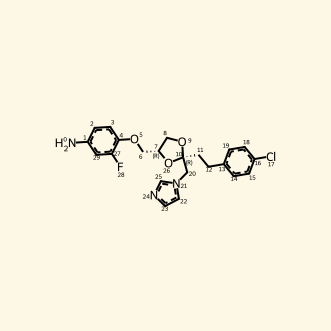 Nc1ccc(OC[C@@H]2CO[C@@](CCc3ccc(Cl)cc3)(Cn3ccnc3)O2)c(F)c1